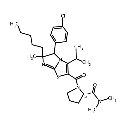 CCCCCC1(C)N=C2SC(C(=O)N3CCC[C@H]3C(=O)N(C)C)=C(C(C)C)N2C1c1ccc(Cl)cc1